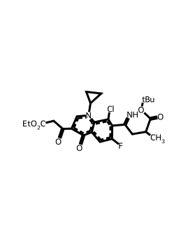 CCOC(=O)CC(=O)c1cn(C2CC2)c2c(Cl)c(C(=N)CC(C)C(=O)OC(C)(C)C)c(F)cc2c1=O